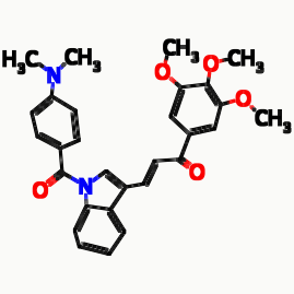 COc1cc(C(=O)/C=C/c2cn(C(=O)c3ccc(N(C)C)cc3)c3ccccc23)cc(OC)c1OC